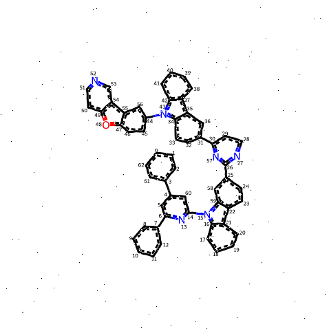 c1ccc(-c2cc(-c3ccccc3)nc(-n3c4ccccc4c4ccc(-c5nccc(-c6ccc7c(c6)c6ccccc6n7-c6ccc7oc8ccncc8c7c6)n5)cc43)c2)cc1